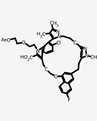 COCCOCCn1c(C(=O)O)c2c3ccc(Cl)c(c31)-c1c(C)c(C)nn1CCCc1cc(n(C)n1)CCc1cc(c3ccc(F)cc3c1)OCCC2